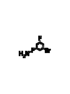 CN.Fc1cc(F)cc(Br)c1